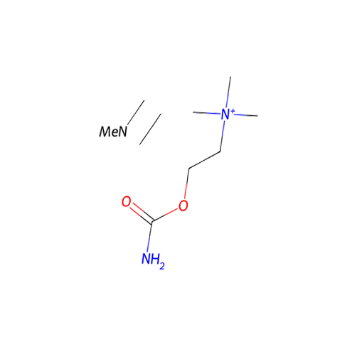 CC.CNC.C[N+](C)(C)CCOC(N)=O